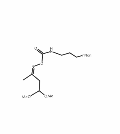 CCCCCCCCCCCCNC(=O)ON=C(C)CC(OC)OC